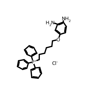 Nc1ccc(OCCCCCC[P+](c2ccccc2)(c2ccccc2)c2ccccc2)cc1N.[Cl-]